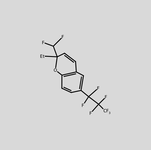 CCC1(C(F)F)C=Cc2cc(C(F)(F)C(F)(F)C(F)(F)F)ccc2O1